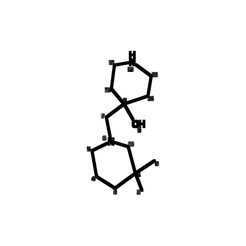 CC1(C)CCCN(CC2(O)CCNCC2)C1